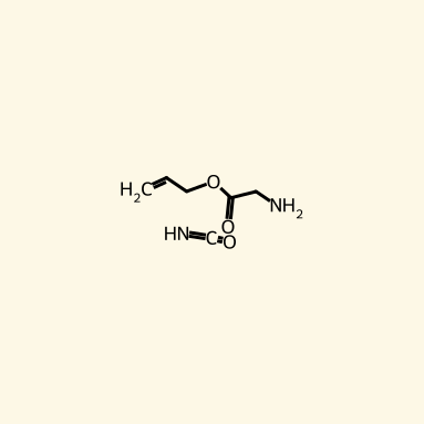 C=CCOC(=O)CN.N=C=O